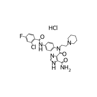 Cl.NC(=O)c1[nH]cnc1C(=O)N(CCN1CCCCC1)c1ccc(NC(=O)c2ccc(F)cc2Cl)cc1